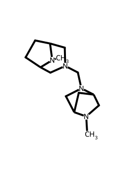 CN1CC2CC1CN2CN1CC2CCC(C1)N2C